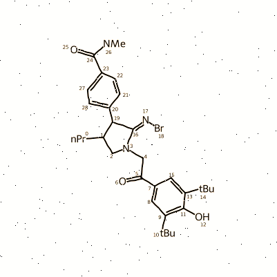 CCCC1CN(CC(=O)c2cc(C(C)(C)C)c(O)c(C(C)(C)C)c2)/C(=N\Br)C1c1ccc(C(=O)NC)cc1